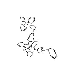 c1ccc(-c2ccc(N(c3ccccc3)c3cccc4oc5c6ccccc6c(-c6ccc(-c7cccc8c7-c7ccccc7C87c8ccccc8-c8ccccc87)cc6)cc5c34)cc2)cc1